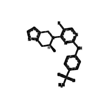 C[C@H]1Cn2nccc2CN1c1nc(Nc2ccc(S(N)(=O)=O)cc2)ncc1F